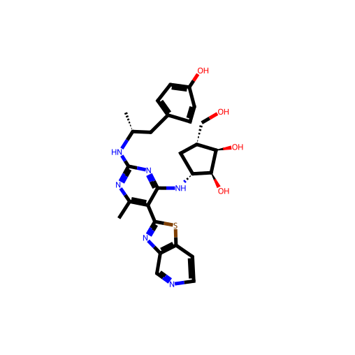 Cc1nc(N[C@H](C)Cc2ccc(O)cc2)nc(N[C@@H]2C[C@H](CO)[C@@H](O)[C@H]2O)c1-c1nc2cnccc2s1